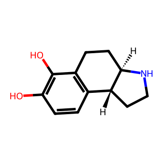 Oc1ccc2c(c1O)CC[C@H]1NCC[C@H]21